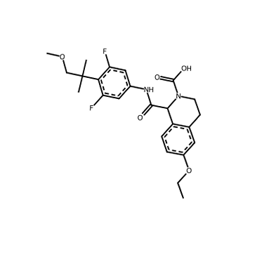 CCOc1ccc2c(c1)CCN(C(=O)O)C2C(=O)Nc1cc(F)c(C(C)(C)COC)c(F)c1